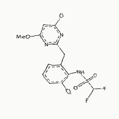 COc1cc(Cl)nc(Cc2cccc(Cl)c2NS(=O)(=O)C(F)F)n1